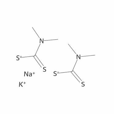 CN(C)C(=S)[S-].CN(C)C(=S)[S-].[K+].[Na+]